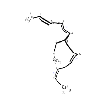 CC=C/C=C\C(/C=C\C=C/C)CN